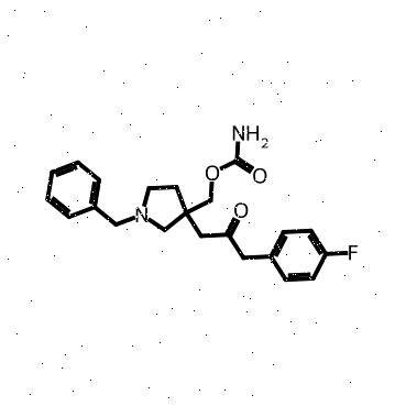 NC(=O)OCC1(CC(=O)Cc2ccc(F)cc2)CCN(Cc2ccccc2)C1